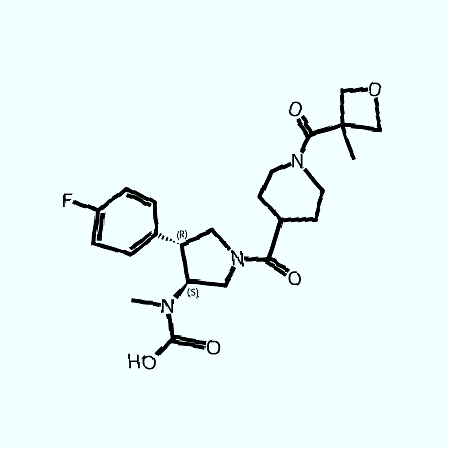 CN(C(=O)O)[C@@H]1CN(C(=O)C2CCN(C(=O)C3(C)COC3)CC2)C[C@H]1c1ccc(F)cc1